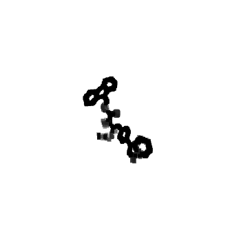 O=C(N[C@@H](Cc1ccc(-c2cnn3ccccc23)cc1)C(=O)O)OCC1c2ccccc2-c2ccccc21